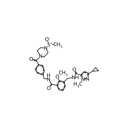 COc1c(CNC(=O)c2cc(C3CC3)nn2C)cccc1C(=O)NCc1ccc(C(=O)N2CCN([S+](C)[O-])CC2)cc1